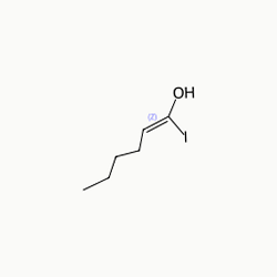 CCCC/C=C(/O)I